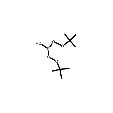 CC(C)(C)OOB(O)OOC(C)(C)C